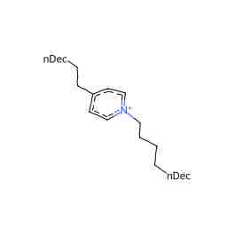 CCCCCCCCCCCCCC[n+]1ccc(CCCCCCCCCCCC)cc1